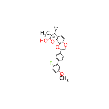 COc1ccc(F)c(-c2ccc(C3COc4ccc(C(C5CC5)[C@H](C)C(=O)O)cc4O3)cc2)c1